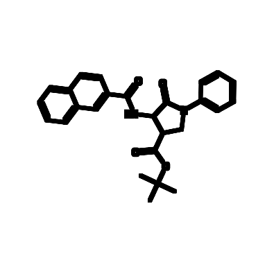 CC(C)(C)OC(=O)C1CN(c2ccccc2)C(=O)C1NC(=O)c1ccc2ccccc2c1